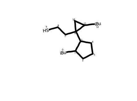 CCC(C)C1CCCC1C1(CCS)CC1C(C)CC